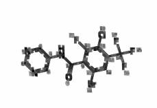 O=C(Nc1cncnc1)c1c(Br)cc(C(F)(F)F)c(Cl)c1F